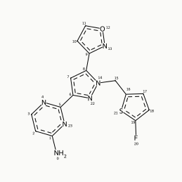 Nc1ccnc(-c2cc(-c3ccon3)n(Cc3ccc(F)s3)n2)n1